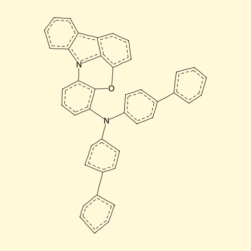 c1ccc(-c2ccc(N(c3ccc(-c4ccccc4)cc3)c3cccc4c3Oc3cccc5c6ccccc6n-4c35)cc2)cc1